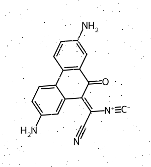 [C-]#[N+]/C(C#N)=C1\C(=O)c2cc(N)ccc2-c2ccc(N)cc21